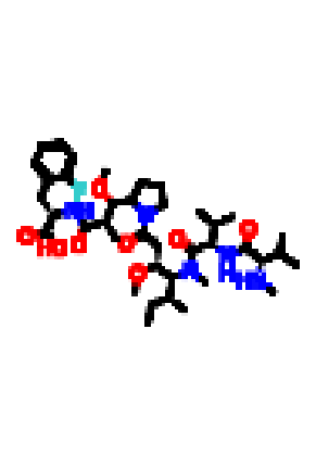 CC[C@H](C)[C@@H]([C@@H](CC(=O)N1CCCC1[C@H](OC)[C@@H](C)C(=O)N[C@@H](Cc1ccccc1F)C(=O)O)OC)N(C)C(=O)[C@@H](NC(=O)[C@@H](NC)C(C)C)C(C)C